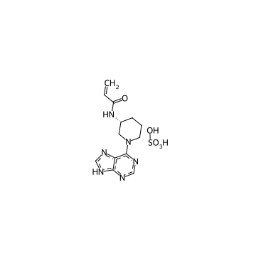 C=CC(=O)N[C@@H]1CCCN(c2ncnc3[nH]cnc23)C1.O=S(=O)(O)O